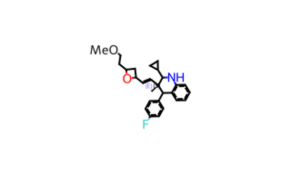 COCCC1CC(/C=C/[C@@]2(C)C(c3ccc(F)cc3)c3ccccc3NC2C2CC2)O1